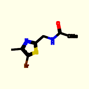 COC(=O)NCc1nc(C)c(Br)s1